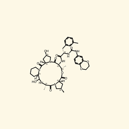 Cc1cccc(C[C@H](NC(=O)Nc2ccc3c(c2)OCCO3)C(=O)N[C@@H]2C(=O)N3C[C@H](O)C[C@H]3C(=O)N3CCCC[C@H]3C(O)N[C@@H](C)C(=O)N3C[C@H](C)C[C@H]3C(=O)O[C@H]2C)c1